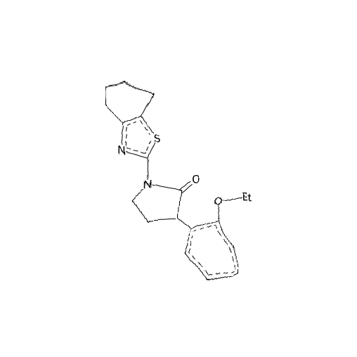 CCOc1ccccc1C1CCN(c2nc3c(s2)CCCC3)C1=O